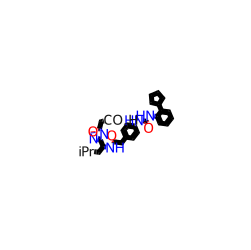 CC(C)CC(NC(=O)Cc1ccc(NC(=O)Nc2ccccc2C2CCCC2)cc1)c1noc(CC(=O)O)n1